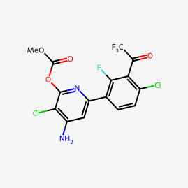 COC(=O)Oc1nc(-c2ccc(Cl)c(C(=O)C(F)(F)F)c2F)cc(N)c1Cl